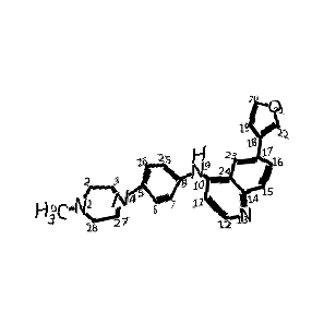 CN1CCN(c2ccc(Nc3ccnc4ccc(-c5ccoc5)cc34)cc2)CC1